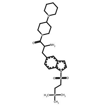 C[Si](C)(C)CCS(=O)(=O)n1ccc2cc(CC(N)C(=O)N3CCC(N4CCCCC4)CC3)ccc21